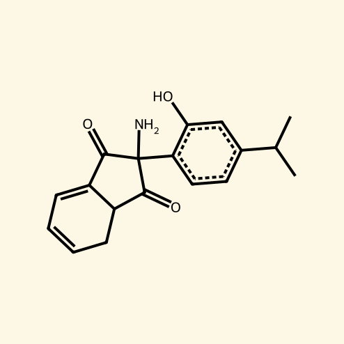 CC(C)c1ccc(C2(N)C(=O)C3=CC=CCC3C2=O)c(O)c1